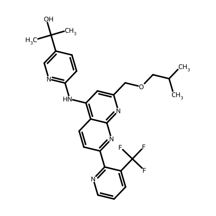 CC(C)COCc1cc(Nc2ccc(C(C)(C)O)cn2)c2ccc(-c3ncccc3C(F)(F)F)nc2n1